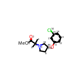 COC(=O)C(C)(C)N1CC[C@@H](Oc2cccc(Cl)c2)C1